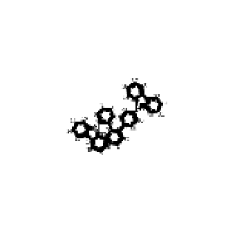 c1ccc(-c2ccccc2-n2c3ccccc3c3ccccc32)c(-c2ccc(-n3c4ccccc4c4ccccc43)cc2)c1